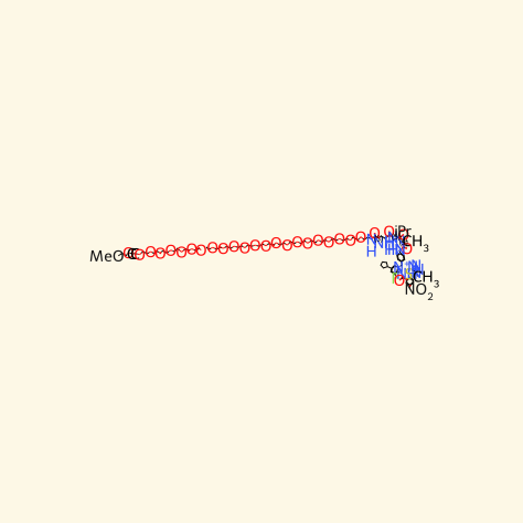 COCCOCCOCCOCCOCCOCCOCCOCCOCCOCCOCCOCCOCCOCCOCCOCCOCCOCCOCCOCCOCCOCCOCCOCCNC(=O)[C@@H](N)CCC(=O)N[C@H](C(=O)N[C@@H](C)C(=O)Nc1ccc(C[n+]2cc(C3CCCC3)cc(F)c2NC(=O)c2cc([N+](=O)[O-])ccc2Sc2nnnn2C)cc1)C(C)C